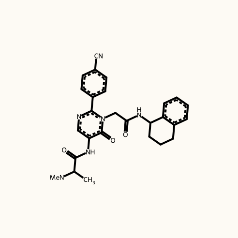 CNC(C)C(=O)Nc1cnc(-c2ccc(C#N)cc2)n(CC(=O)NC2CCCc3ccccc32)c1=O